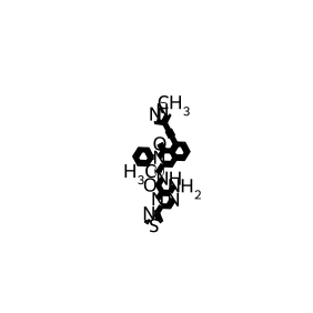 C[C@H](NC(=O)c1nc(-c2cscn2)cnc1N)c1cc2cccc(C#Cc3cnn(C)c3)c2c(=O)n1-c1ccccc1